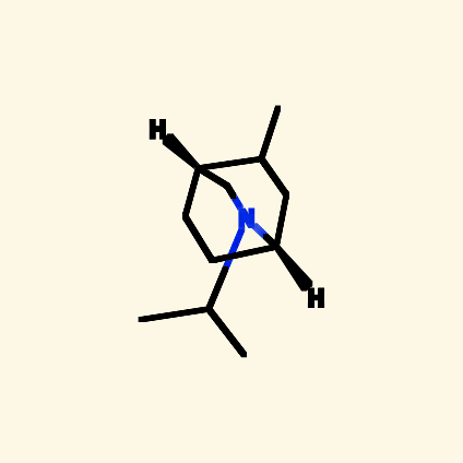 CC1C[C@@H]2CC[C@H]1CN2C(C)C